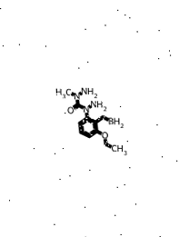 BCc1c(OCC)cccc1N(N)C(=O)N(C)N